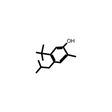 Cc1cc(CC(C)C)c(C(C)(C)C)cc1O